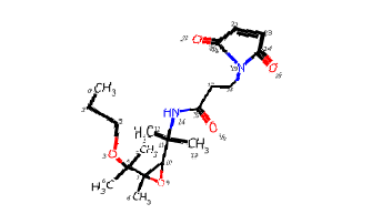 CCCOC(C)(C)C1(C)OC1C(C)(C)NC(=O)CCN1C(=O)C=CC1=O